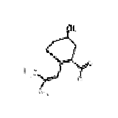 CC(C)=CC1CC[C@@H](C)C[C@H]1C(=O)Cl